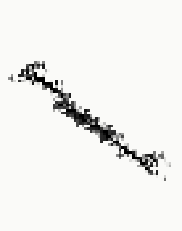 CO[Si](CCCCCCNC(=O)OC(F)(F)OC(F)(F)C(F)(F)OC(F)(F)C(F)(F)OC(F)(F)C(F)(F)OC(F)(F)C(F)(F)OC(=O)NCCCCCC[Si](OC)(OC)OC)(OC)OC